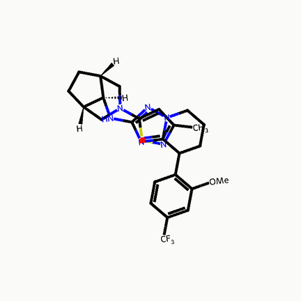 COc1cc(C(F)(F)F)ccc1C1CCCn2nc(N[C@@H]3[C@@H]4CC[C@H]3CN(c3cc(C)ns3)C4)nc21